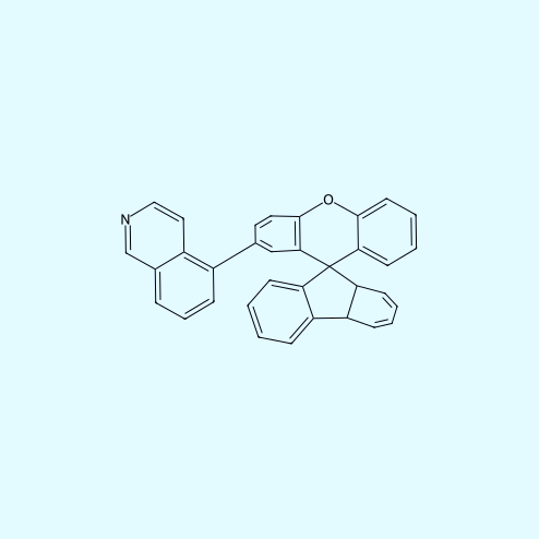 C1=CC2c3ccccc3C3(c4ccccc4Oc4ccc(-c5cccc6cnccc56)cc43)C2C=C1